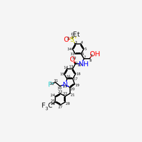 CC[S+]([O-])c1ccc(C(CO)NC(=O)c2ccc3c(c2)cc(Cc2ccc(C(F)(F)F)cc2)n3CCF)cc1